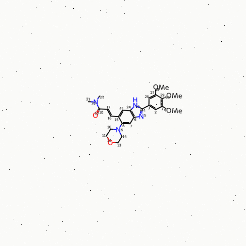 COc1cc(-c2nc3cc(N4CCOCC4)c(C=CC(=O)N(C)C)cc3[nH]2)cc(OC)c1OC